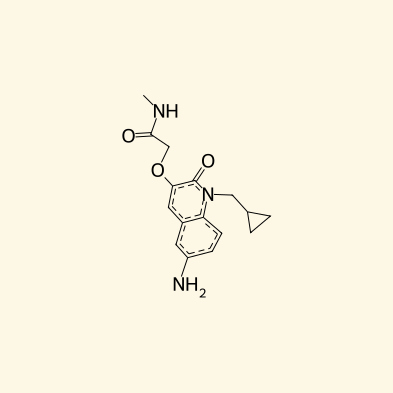 CNC(=O)COc1cc2cc(N)ccc2n(CC2CC2)c1=O